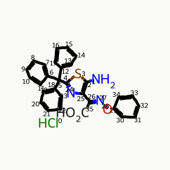 Cl.Nc1sc(C(c2ccccc2)(c2ccccc2)c2ccccc2)nc1C(=NOc1ccccc1)C(=O)O